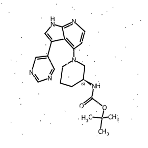 CC(C)(C)OC(=O)N[C@H]1CCCN(c2ccnc3[nH]cc(-c4cncnc4)c23)C1